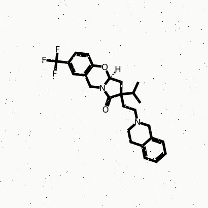 CC(C)C1(CCN2CCc3ccccc3C2)C[C@@H]2Oc3ccc(C(F)(F)F)cc3CN2C1=O